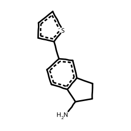 NC1CCc2cc(-c3cccs3)ccc21